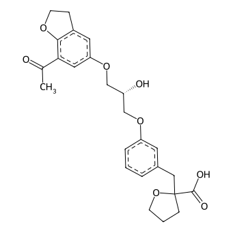 CC(=O)c1cc(OC[C@H](O)COc2cccc(CC3(C(=O)O)CCCO3)c2)cc2c1OCC2